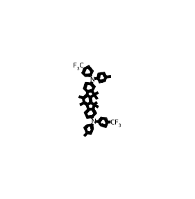 Cc1ccc(N(c2ccc(C(F)(F)F)cc2)c2ccc3c(c2)C(C)(C)c2c-3c(C)c(C)c3c2C(C)(C)c2cc(N(c4ccc(C)cc4)c4ccc(C(F)(F)F)cc4)ccc2-3)cc1